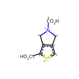 O=C(O)c1scc2c1CN(C(=O)O)C2